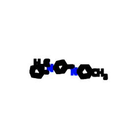 Cc1ccc(N=Cc2ccc(N(C)Cc3ccccc3)cc2)cc1